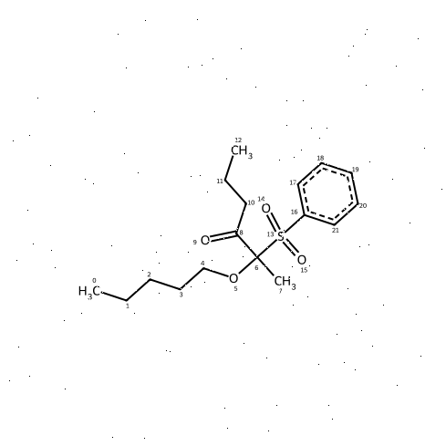 CCCCCOC(C)(C(=O)CCC)S(=O)(=O)c1ccccc1